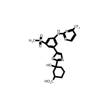 CS(=O)(=O)c1cc(Nc2nccc(C(F)(F)F)n2)cc(-c2cnc(C3(O)CCCC(C(=O)O)C3)s2)c1